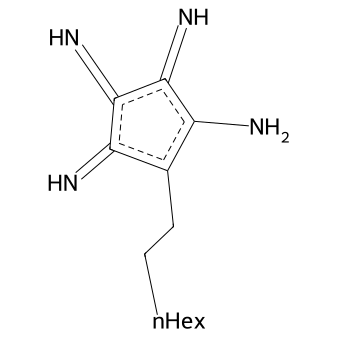 CCCCCCCCc1c(N)c(=N)c(=N)c1=N